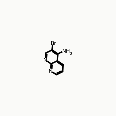 Nc1c(Br)cnc2ncccc12